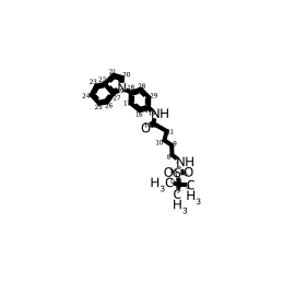 CC(C)(C)S(=O)(=O)NCCCCC(=O)Nc1ccc(-n2ccc3ccccc32)cc1